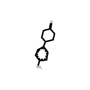 Cc1ccc(C2CCC(=O)CC2)cc1